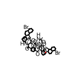 CN[C@@H](C)C(=O)N[C@H]1CN(C(=O)c2ccc(C(=O)C3Nc4ccccc4N(Cc4c(OC)ccc5c(Br)cccc45)C(=O)[C@H]3NC(=O)[C@H](C)NC)cc2)c2ccccc2N(Cc2c(OC)ccc3c(Br)cccc23)C1=O